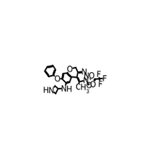 Cc1c2c(nn(OC(=O)C(F)(F)F)[n+]1=O)COc1cc(Oc3ccccc3)c(NC3CNC3)cc1-2